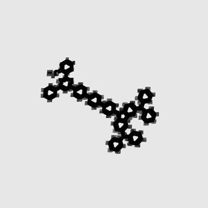 Cc1ccccc1-c1nc(-c2ccccc2)cc(-c2ccc(-c3ccc(-c4ccc(-n5c6ccc(N(c7ccccc7)c7ccccc7)cc6c6cc(N(c7ccccc7)c7ccccc7)ccc65)cc4)cc3)cc2)n1